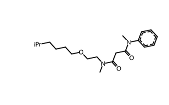 CC(C)CCCCOCCN(C)C(=O)CC(=O)N(C)c1ccccc1